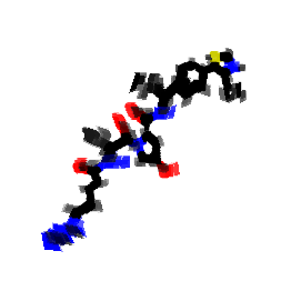 Cc1ncsc1-c1ccc([C@H](C)NC(=O)[C@@H]2C[C@@H](O)CN2C(=O)C(NC(=O)CCCCN=[N+]=[N-])C(C)(C)C)cc1